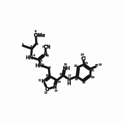 COCC(C)NC(=NC#N)NCc1nonc1C(=N)Nc1ccc(F)c(Cl)c1